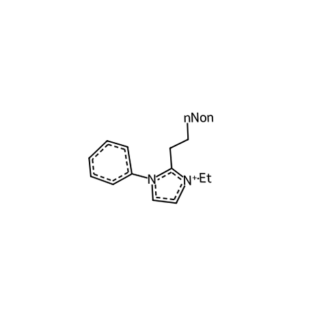 CCCCCCCCCCCc1n(-c2ccccc2)cc[n+]1CC